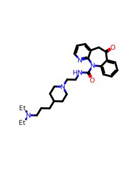 CCN(CC)CCCC1CCN(CCNC(=O)N2c3ccccc3C(=O)Cc3cccnc32)CC1